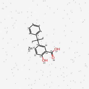 CC(C)(c1ccccc1)c1ccc(O)c(C(=O)O)c1.[Zn]